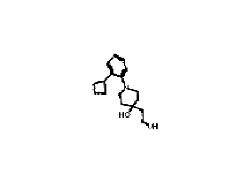 OCCC1(O)CCN(c2cc[c]cc2C2CCC2)CC1